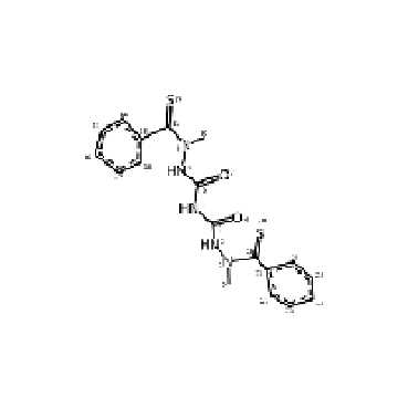 CN(NC(=O)NC(=O)NN(C)C(=S)c1ccccc1)C(=S)c1ccccc1